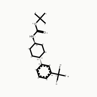 CC(C)(C)OC(=O)N[C@H]1[CH]C[C@H](c2cccc(C(F)(F)F)c2)CC1